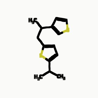 CC(C)c1ccc(CC(C)c2ccsc2)s1